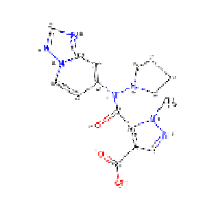 Cn1ncc(C(=O)O)c1C(=O)N(c1ccn2ncnc2c1)N1CCCC1